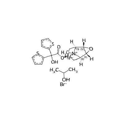 CC(C)O.C[N+]1(C)[C@@H]2C[C@@H](OC(=O)C(O)(c3cccs3)c3cccs3)C[C@H]1[C@@H]1O[C@@H]12.[Br-]